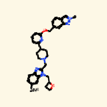 CCn1cc2ccc(COc3cccc(C4CCN(Cc5nc6ccc(C(=O)O)cc6n5CC5CCO5)CC4)n3)cc2n1